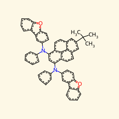 CC(C)(C)c1cc2ccc3c(N(c4ccccc4)c4ccc5oc6ccccc6c5c4)cc(N(c4ccccc4)c4ccc5oc6ccccc6c5c4)c4ccc(c1)c2c34